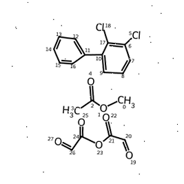 COC(C)=O.Clc1cccc(-c2ccccc2)c1Cl.O=CC(=O)OC(=O)C=O